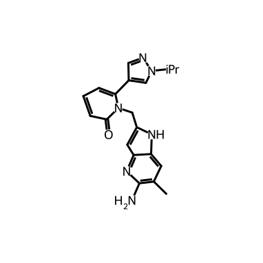 Cc1cc2[nH]c(Cn3c(-c4cnn(C(C)C)c4)cccc3=O)cc2nc1N